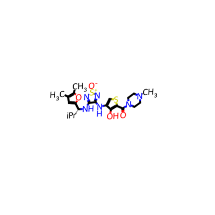 Cc1cc([C@H](Nc2n[s+]([O-])nc2Nc2csc(C(=O)N3CCN(C)CC3)c2O)C(C)C)oc1C